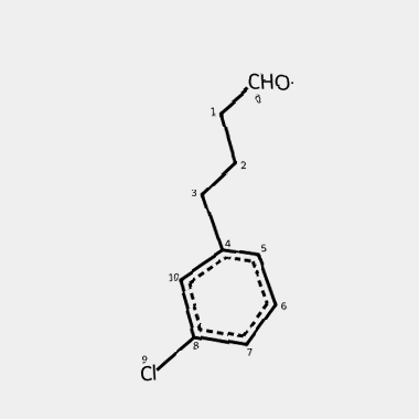 O=[C]CCCc1cccc(Cl)c1